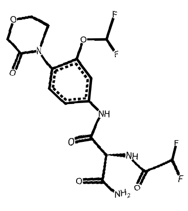 NC(=O)[C@H](NC(=O)C(F)F)C(=O)Nc1ccc(N2CCOCC2=O)c(OC(F)F)c1